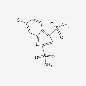 NS(=O)(=O)c1cc(S(N)(=O)=O)c2ccc([S])cc2c1